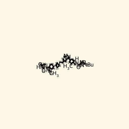 Cc1cc(-c2ncnn3cc(CCN4CC[C@H](c5ccc6c(N7CCC(=O)NC7=O)nn(C)c6c5)C4)cc23)ccc1CNC(=O)c1noc(C(C)(C)C)n1